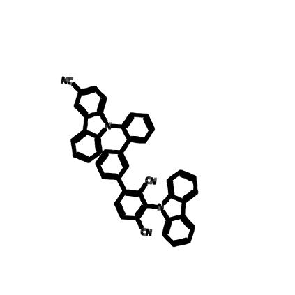 N#Cc1ccc2c(c1)c1ccccc1n2-c1ccccc1-c1cccc(-c2ccc(C#N)c(-n3c4ccccc4c4ccccc43)c2C#N)c1